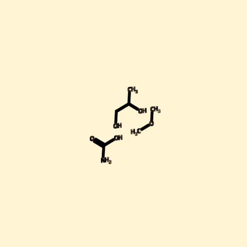 CC(O)CO.COC.NC(=O)O